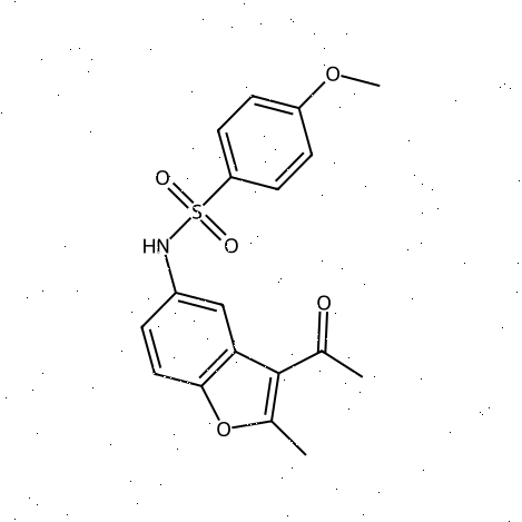 COc1ccc(S(=O)(=O)Nc2ccc3oc(C)c(C(C)=O)c3c2)cc1